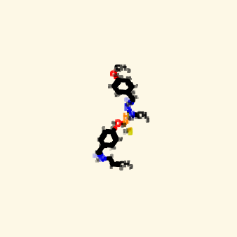 C=CC/N=C\c1ccc(O[PH](=S)N(C)/N=C/c2ccc(OC)cc2)cc1